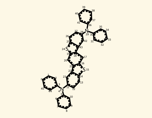 c1ccc(N(c2ccccc2)c2ccc3sc4cc5c(cc4c3c2)sc2ccc(N(c3ccccc3)c3ccccc3)cc25)cc1